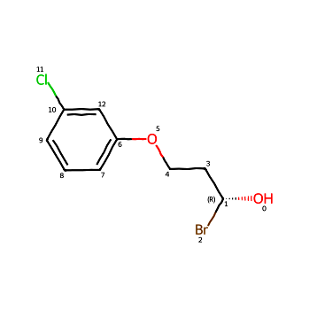 O[C@H](Br)CCOc1cccc(Cl)c1